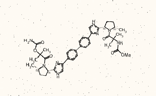 COC(=O)NC(C)(C)C(=O)N1[C@@H](C)CC[C@H]1c1nc(-c2ccc(-c3ccc(-c4c[nH]c([C@@H]5CC[C@H](C)N5C(=O)C(C)(C)OC(N)=O)n4)cc3)cc2)c[nH]1